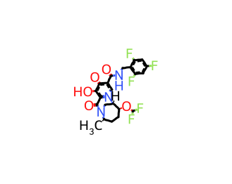 C[C@H]1CC[C@H](OC(F)F)[C@H]2CN1C(=O)c1c(O)c(=O)c(C(=O)NCc3c(F)cc(F)cc3F)cn12